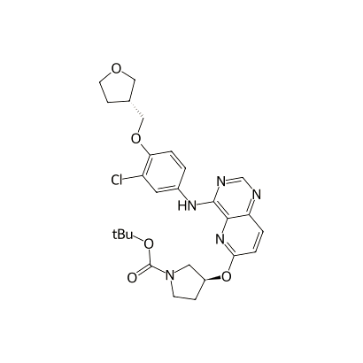 CC(C)(C)OC(=O)N1CC[C@H](Oc2ccc3ncnc(Nc4ccc(OC[C@@H]5CCOC5)c(Cl)c4)c3n2)C1